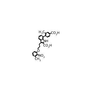 Cc1cc(C(=O)O)ccc1-c1cccc2c(CCCOc3cccc(C)c3[N+](=O)[O-])c(C(=O)O)[nH]c12